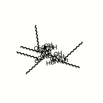 CCCCCCCCCCCCCC(=O)O[C@H](CCCCCCCCCCC)CC(=O)NC1C(OC(=O)C[C@@H](CCCCCCCCCCC)OC(=O)CCCCCCCCCCCCC)[C@H](OP(=O)(O)O)C(CO)O[C@H]1OCC1O[C@H](O)C(NC(=O)C[C@@H](CCCCCCCCCCC)OC(=O)CCCCCCCCCCCCC)C(O)[C@@H]1O